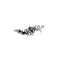 NC(=O)[C@H](CC(=O)O)NC(=O)[C@H](CS)NC(=O)[C@H](CO)NC(=O)[C@@H](N)Cc1c[nH]cn1